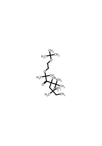 CCC(C)(C)CC(C)(C(=O)C(C)(C)OCCOC(C)(C)C)C(C)(C)C